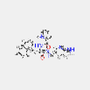 CC(C)N(C)[C@@H](C)C(=O)N[C@@H](Cc1cccc2ccccc12)C(=O)NCc1cnc2[nH]ccc2c1